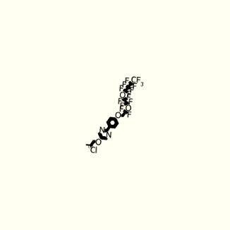 C[C@H](Cl)COc1cnc(-c2ccc(OCC(F)(F)OC(F)(F)C(F)(F)OC(F)(F)C(F)(F)C(F)(F)C(F)(F)F)cc2)nc1